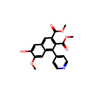 COC(=O)c1cc2cc(O)c(OC)cc2c(-c2ccncc2)c1C(=O)OC